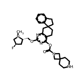 CN1C[C@H](F)C[C@H]1COc1nc2c(c(OC(=O)N3CC4(CCNCC4)C3)n1)CCC1(CCc3ccccc31)C2